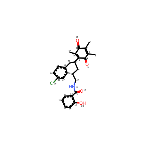 CC1=C(C)C(=O)C(C(CCCNC(=O)c2ccccc2O)Cc2ccc(Cl)cc2)=C(C)C1=O